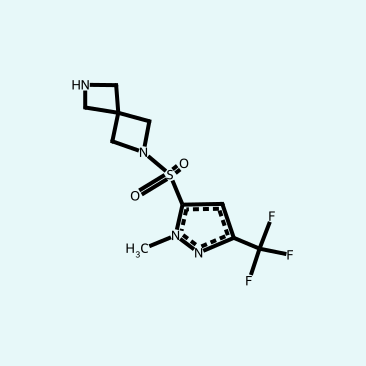 Cn1nc(C(F)(F)F)cc1S(=O)(=O)N1CC2(CNC2)C1